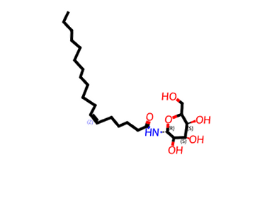 CCCCCCCCCCC/C=C\CCCCC(=O)N[C@@H]1OC(CO)[C@@H](O)[C@H](O)C1O